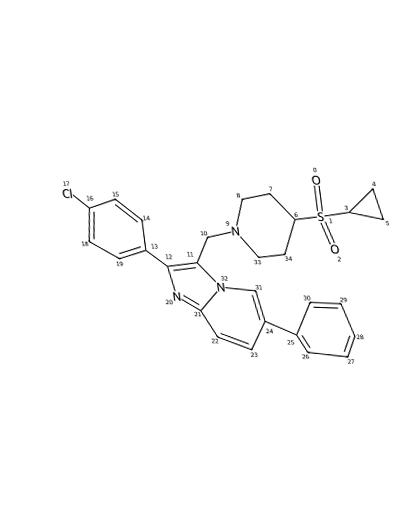 O=S(=O)(C1CC1)C1CCN(Cc2c(-c3ccc(Cl)cc3)nc3ccc(-c4ccccc4)cn23)CC1